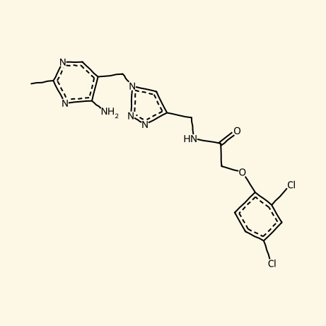 Cc1ncc(Cn2cc(CNC(=O)COc3ccc(Cl)cc3Cl)nn2)c(N)n1